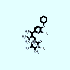 Cc1nc(/C(N)=C(\CNC(=O)N(C)C(C)C(C)C)N(C)N)ccc1OC1CCCCC1